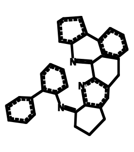 c1ccc(-c2ccccc2/N=C2/CCCc3cc4c(nc32)/C(=N/c2ccccc2-c2ccccc2)CCC4)cc1